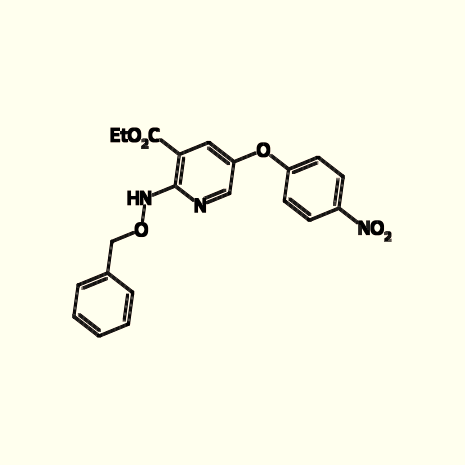 CCOC(=O)c1cc(Oc2ccc([N+](=O)[O-])cc2)cnc1NOCc1ccccc1